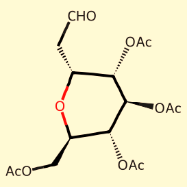 CC(=O)OC[C@H]1O[C@H](CC=O)[C@H](OC(C)=O)[C@@H](OC(C)=O)[C@@H]1OC(C)=O